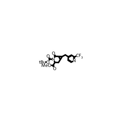 COC(=O)C1CC2C(Cc3ccnc(C(F)(F)F)c3)C2C(=O)N1C(=O)OC(C)(C)C